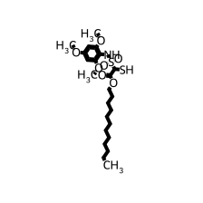 CCCCCCCCCCCCOC(=O)C(S)S(=O)(=O)Nc1c(OC)cc(OC)cc1OC